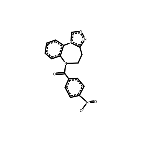 O=C(c1ccc([N+](=O)[O-])cc1)N1CCc2nncn2-c2ccccc21